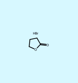 Br.O=C1CCCO1